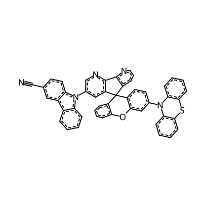 N#Cc1ccc2c(c1)c1ccccc1n2-c1cnc2c(c1)C1(c3ccccc3Oc3cc(N4c5ccccc5Sc5ccccc54)ccc31)c1cccnc1-2